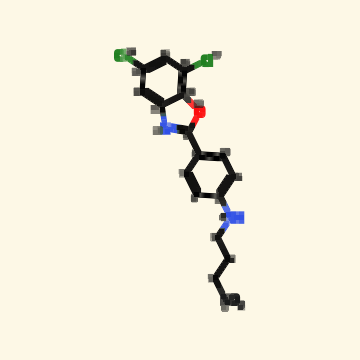 O=[N+]([O-])CCCNc1ccc(-c2nc3cc(Cl)cc(Cl)c3o2)cc1